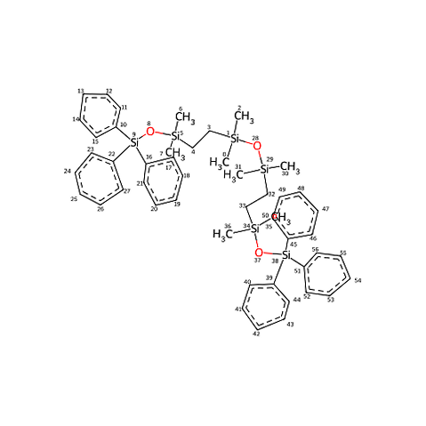 C[Si](C)(CC[Si](C)(C)O[Si](c1ccccc1)(c1ccccc1)c1ccccc1)O[Si](C)(C)CC[Si](C)(C)O[Si](c1ccccc1)(c1ccccc1)c1ccccc1